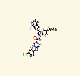 COc1ccc2c(c1)c(-c1cc3cccnc3[nH]1)cn2CC(=O)N1CCN(Cc2ccc(Cl)cc2)CC1